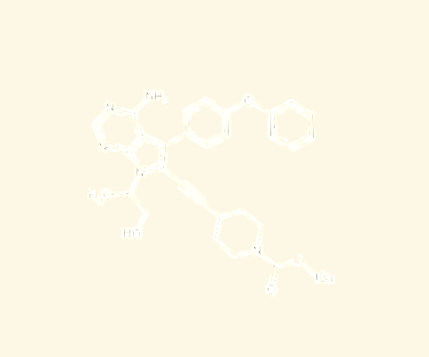 CC(CO)n1c(C#CC2CCN(C(=O)OC(C)(C)C)CC2)c(-c2ccc(Oc3ccccc3)cc2)c2c(N)ncnc21